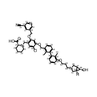 Cc1c(COc2cc(OCc3cncc(C#N)c3)c(CN3CCCC[C@H]3C(=O)O)cc2Cl)cccc1-c1cccc(OCCCN2CC3[C@@H](O)[C@@H]3C2)c1C